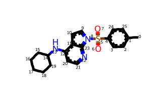 Cc1ccc(S(=O)(=O)n2ccc3c(NC4CCCCC4)ccnc32)cc1